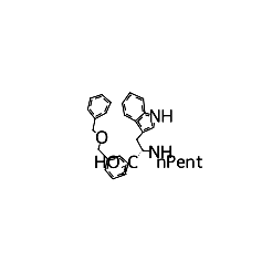 CCCCCN[C@@H](Cc1c[nH]c2ccccc12)C(=O)O.c1ccc(COCc2ccccc2)cc1